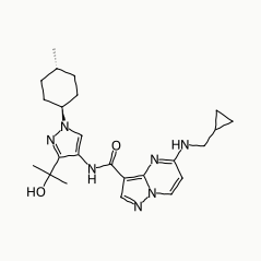 CC(C)(O)c1nn([C@H]2CC[C@H](C)CC2)cc1NC(=O)c1cnn2ccc(NCC3CC3)nc12